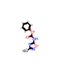 CC(C)(C)c1noc(NC(=O)Oc2ccccc2)n1